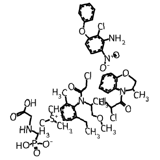 CC1COc2ccccc2N1C(=O)C(Cl)Cl.CCc1cccc(C)c1N(C(=O)CCl)C(C)COC.C[S+](C)C.Nc1c([N+](=O)[O-])ccc(Oc2ccccc2)c1Cl.O=C(O)CNCP(=O)([O-])O